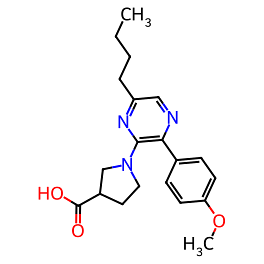 CCCCc1cnc(-c2ccc(OC)cc2)c(N2CCC(C(=O)O)C2)n1